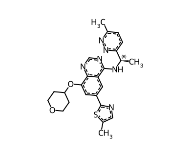 Cc1ccc([C@@H](C)Nc2ncnc3c(OC4CCOCC4)cc(-c4ncc(C)s4)cc23)nn1